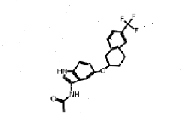 CC(=O)Nc1c[nH]c2ccc(OC3CCc4cc(C(F)(F)F)ccc4C3)cc12